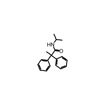 CC(C)NC(=O)C(C)(c1ccccc1)c1ccccc1